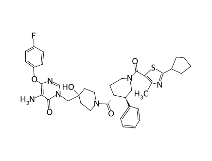 Cc1nc(C2CCCC2)sc1C(=O)N1CC[C@@H](C(=O)N2CCC(O)(Cn3cnc(Oc4ccc(F)cc4)c(N)c3=O)CC2)[C@H](c2ccccc2)C1